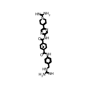 N=C(N)NCc1ccc(NC(=O)C23CCC(C(=O)Nc4cnc(C5=CCN(C(=N)N)CC5)cn4)(CC2)CC3)cc1